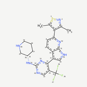 Cc1nsc(C)c1-c1ccc2c(-c3nc(N[C@H]4CCCNC4)ncc3C(F)(F)F)c[nH]c2n1